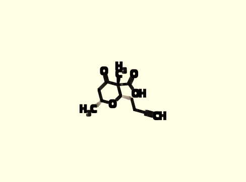 C#CCC[C@@H]1O[C@H](C)CC(=O)[C@]1(C)C(=O)O